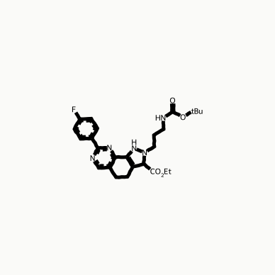 CCOC(=O)C1C2=C(NN1CCCNC(=O)OC(C)(C)C)c1nc(-c3ccc(F)cc3)ncc1CC2